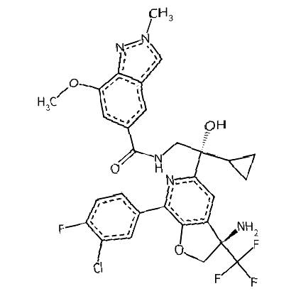 COc1cc(C(=O)NC[C@](O)(c2cc3c(c(-c4ccc(F)c(Cl)c4)n2)OC[C@@]3(N)C(F)(F)F)C2CC2)cc2cn(C)nc12